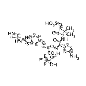 CC1(C)[C@H](NC(=O)/C(=N\O[C@@H](COc2ccc3nc(NC4CNC4)sc3c2)C(=O)O)c2csc(N)n2)C(=O)N1OS(=O)(=O)O.O=C(O)C(F)(F)F